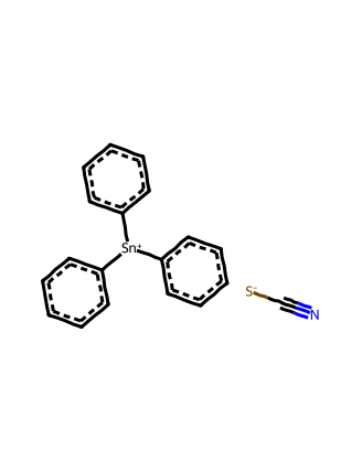 N#C[S-].c1cc[c]([Sn+]([c]2ccccc2)[c]2ccccc2)cc1